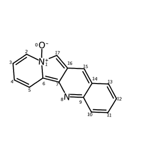 [O-][N+]12C=CC=CC1=c1nc3ccccc3cc1=C2